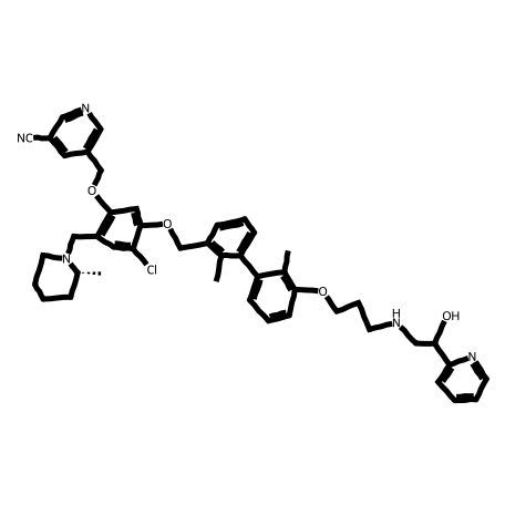 Cc1c(COc2cc(OCc3cncc(C#N)c3)c(CN3CCCC[C@H]3C)cc2Cl)cccc1-c1cccc(OCCCNCC(O)c2ccccn2)c1C